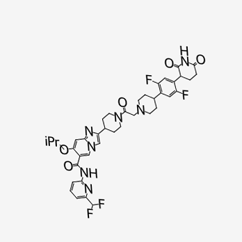 CC(C)Oc1cc2nc(C3CCN(C(=O)CN4CCC(c5cc(F)c(C6CCC(=O)NC6=O)cc5F)CC4)CC3)cn2cc1C(=O)Nc1cccc(C(F)F)n1